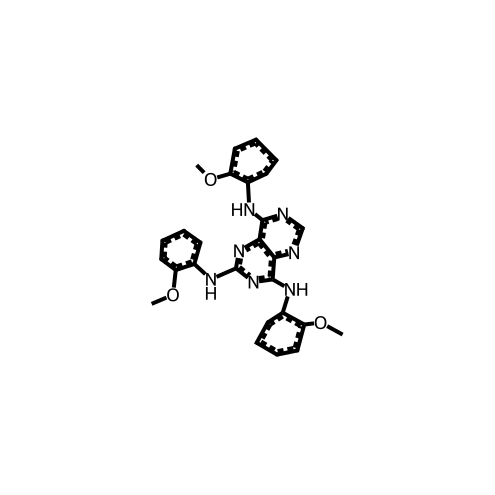 COc1ccccc1Nc1nc(Nc2ccccc2OC)c2ncnc(Nc3ccccc3OC)c2n1